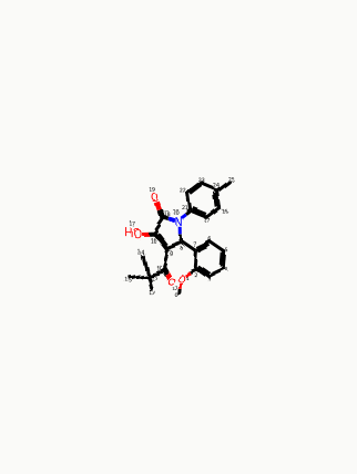 COc1ccccc1C1C(C(=O)C(C)(C)C)=C(O)C(=O)N1c1ccc(C)cc1